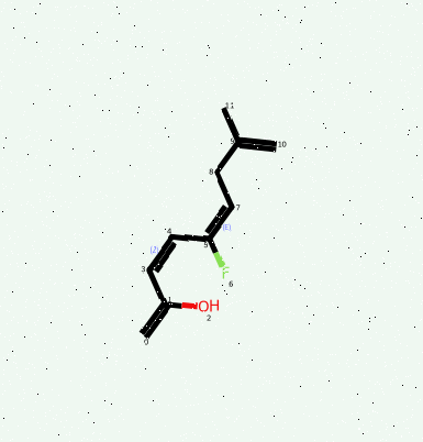 C=C(O)/C=C\C(F)=C/CC(=C)C